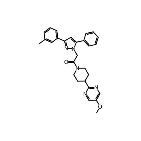 COc1cnc(C2CCN(C(=O)Cn3nc(-c4cccc(C)c4)cc3-c3ccccc3)CC2)nc1